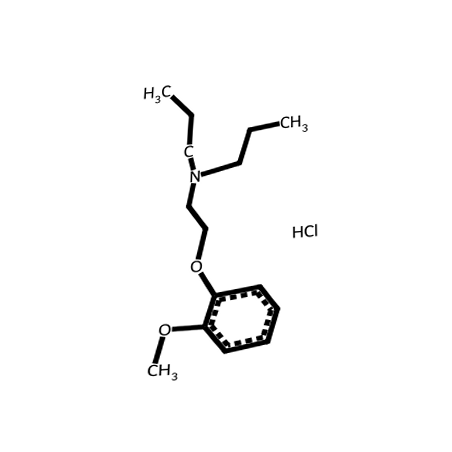 CCCN(CCC)CCOc1ccccc1OC.Cl